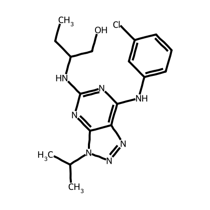 CCC(CO)Nc1nc(Nc2cccc(Cl)c2)c2nnn(C(C)C)c2n1